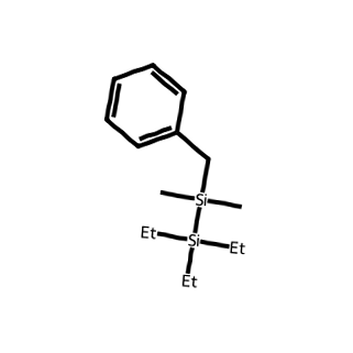 CC[Si](CC)(CC)[Si](C)(C)Cc1ccccc1